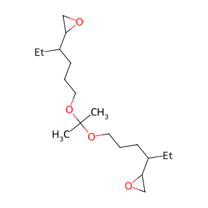 CCC(CCCOC(C)(C)OCCCC(CC)C1CO1)C1CO1